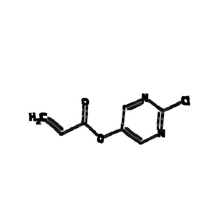 C=CC(=O)Oc1cnc(Cl)nc1